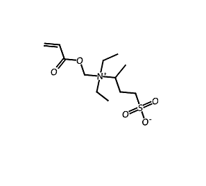 C=CC(=O)OC[N+](CC)(CC)C(C)CCS(=O)(=O)[O-]